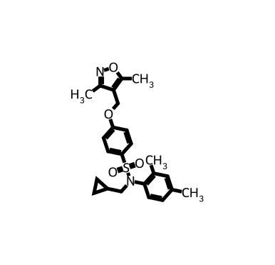 Cc1ccc(N(CC2CC2)S(=O)(=O)c2ccc(OCc3c(C)noc3C)cc2)c(C)c1